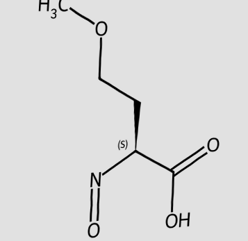 COCC[C@H](N=O)C(=O)O